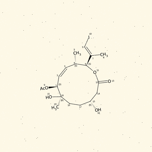 CC(=O)O[C@H]1C=C[C@H](C)[C@@H](C(C)=CI)OC(=O)C[C@H](O)CC[C@@]1(C)O